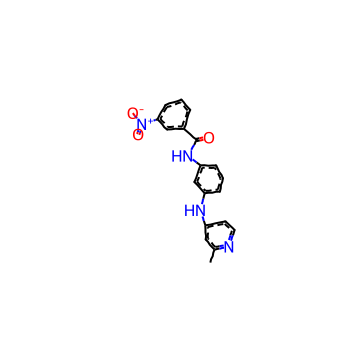 Cc1cc(Nc2cccc(NC(=O)c3cccc([N+](=O)[O-])c3)c2)ccn1